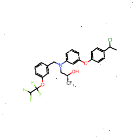 CC(Cl)c1ccc(Oc2cccc(N(Cc3cccc(OC(F)(F)C(F)F)c3)C[C@@H](O)C(F)(F)F)c2)cc1